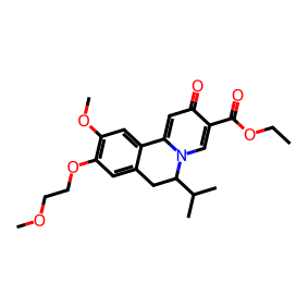 CCOC(=O)c1cn2c(cc1=O)-c1cc(OC)c(OCCOC)cc1CC2C(C)C